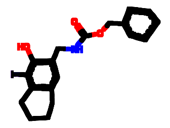 O=C(NCc1cc2c(c(I)c1O)CCCC2)OCc1ccccc1